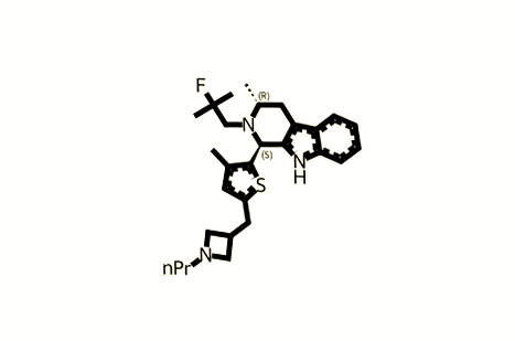 CCCN1CC(Cc2cc(C)c([C@@H]3c4[nH]c5ccccc5c4C[C@@H](C)N3CC(C)(C)F)s2)C1